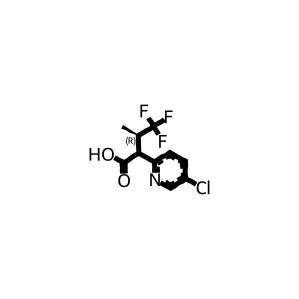 C[C@H](C(C(=O)O)c1ccc(Cl)cn1)C(F)(F)F